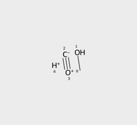 CO.[C-]#[O+].[H+]